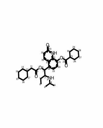 CCC(NC(C)C)C(OC(=O)CC1CCCCC1)c1ccc(OC(=O)C2CCCCC2)c2[nH]c(=O)ccc12